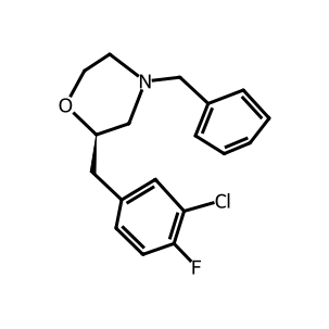 Fc1ccc(C[C@@H]2CN(Cc3ccccc3)CCO2)cc1Cl